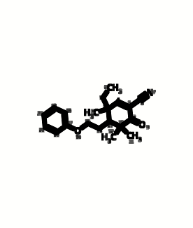 CCC1(C)C=C(C#N)C(=O)C(C)(C)C1CCOc1ccccc1